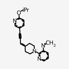 C=Nc1cccnc1N1CCC(=CC#Cc2ccc(OC(C)C)nc2)CC1